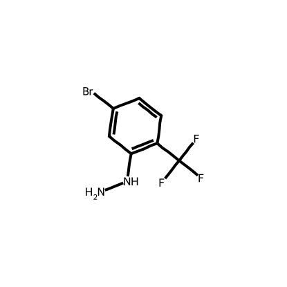 NNc1cc(Br)ccc1C(F)(F)F